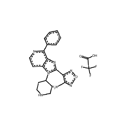 Nc1nonc1-c1nc2c(-c3ccccc3)nccc2n1C1CCNCC1.O=C(O)C(F)(F)F